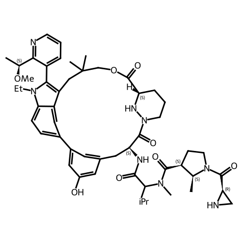 CCn1c(-c2cccnc2[C@H](C)OC)c2c3cc(ccc31)-c1cc(O)cc(c1)C[C@H](NC(=O)C(C(C)C)N(C)C(=O)[C@H]1CCN(C(=O)[C@H]3CN3)[C@H]1C)C(=O)N1CCC[C@H](N1)C(=O)OCC(C)(C)C2